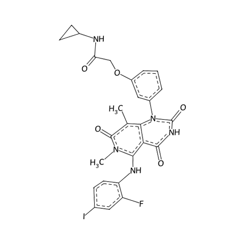 Cc1c(=O)n(C)c(Nc2ccc(I)cc2F)c2c(=O)[nH]c(=O)n(-c3cccc(OCC(=O)NC4CC4)c3)c12